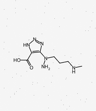 CNCCCN(N)c1nn[nH]c1C(=O)O